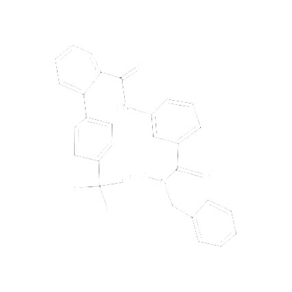 CN(Cc1ccccc1)C(=O)c1cccc(NC(=O)c2ccccc2-c2ccc(C(F)(F)F)cc2)c1